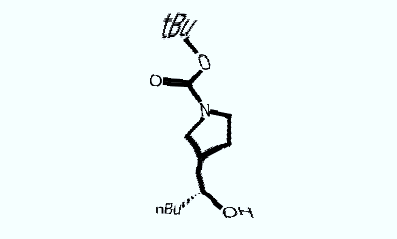 CCCC[C@@H](O)C1CCN(C(=O)OC(C)(C)C)C1